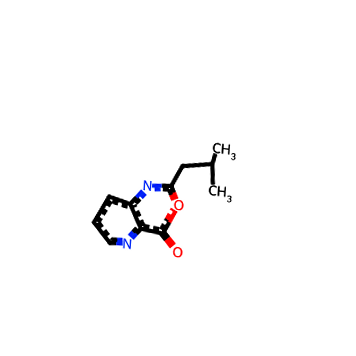 CC(C)Cc1nc2cccnc2c(=O)o1